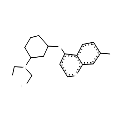 CCN(CC)C1CCCC(Nc2ccnc3cc(Cl)ccc23)C1